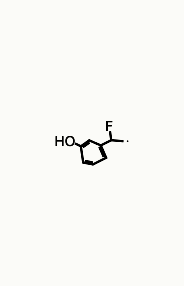 [CH2]C(F)c1cccc(O)c1